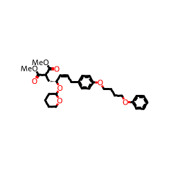 COC(=O)C(C[C@H](/C=C\Cc1ccc(OCCCCOc2ccccc2)cc1)OC1CCCCO1)C(=O)OC